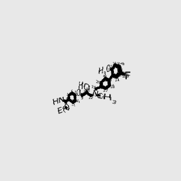 CCOC(=N)c1ccc(OCC(O)CN(C)Cc2ccc(-c3cc(F)ccc3C)cc2)cc1